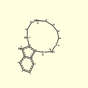 c1ccc2c3c([nH]c2c1)NCCNCCCCSNC3